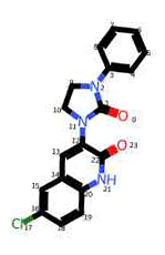 O=C1N(c2ccccc2)CCN1c1cc2cc(Cl)ccc2[nH]c1=O